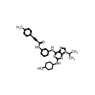 Cc1ccc(C#CC(=O)Nc2cccc(Nc3nc(NC4CCC(O)CC4)nc4c3ncn4C(C)C)c2)cc1